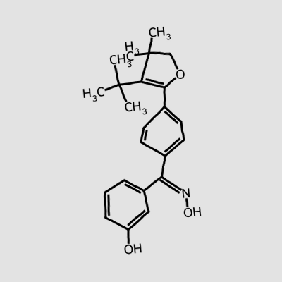 CC(C)(C)C1=C(c2ccc(C(=NO)c3cccc(O)c3)cc2)OCC1(C)C